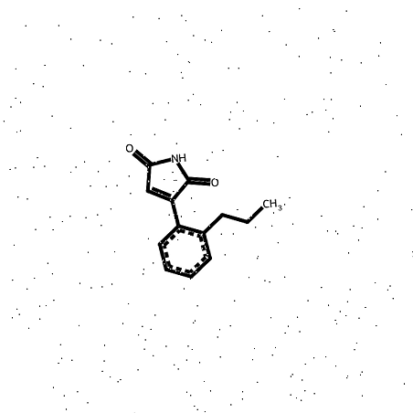 CCCc1ccccc1C1=CC(=O)NC1=O